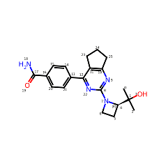 CC(C)(O)[C@H]1CCN1c1nc2c(c(-c3ccc(C(N)=O)cc3)n1)CCC2